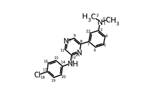 CN(C)c1cccc(-c2cncc(Nc3ccc(Cl)cc3)n2)c1